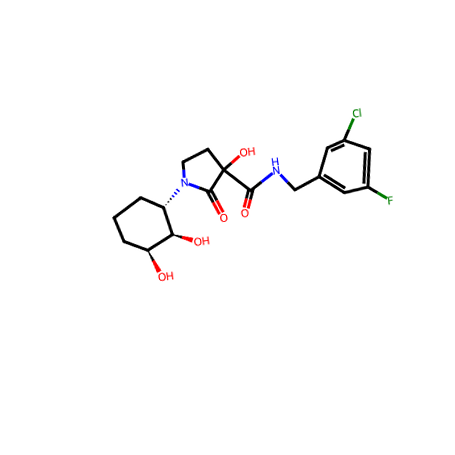 O=C(NCc1cc(F)cc(Cl)c1)C1(O)CCN([C@H]2CCC[C@H](O)[C@@H]2O)C1=O